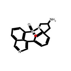 NC1CCN(S(=O)(=O)c2cccc3cncc(-c4ccccc4)c23)C1